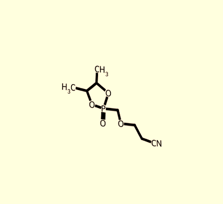 CC1OP(=O)(COCCC#N)OC1C